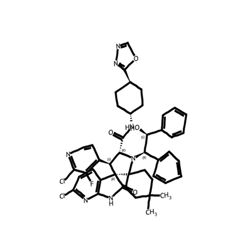 CC1(C)CCC2(CC1)N([C@H](c1ccccc1)[C@@H](O)c1ccccc1)[C@@H](C(=O)N[C@H]1CC[C@H](c3nnco3)CC1)[C@H](c1ccnc(Cl)c1F)[C@]21C(=O)Nc2nc(Cl)ccc21